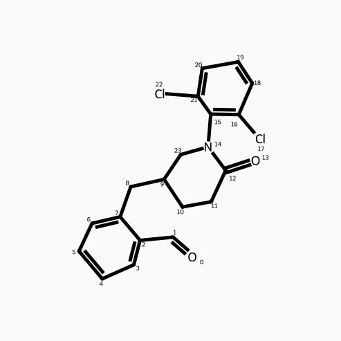 O=Cc1ccccc1CC1CCC(=O)N(c2c(Cl)cccc2Cl)C1